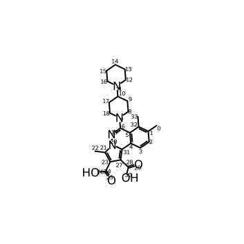 Cc1ccc2c(c(N3CCC(N4CCCCC4)CC3)nn3c(C)c(C(=O)O)c(C(=O)O)c23)c1C